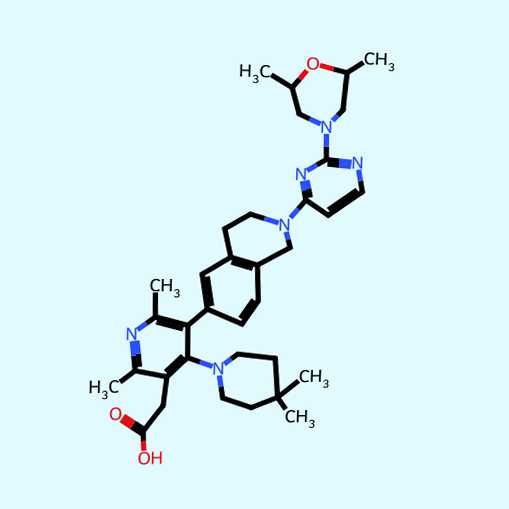 Cc1nc(C)c(-c2ccc3c(c2)CCN(c2ccnc(N4CC(C)OC(C)C4)n2)C3)c(N2CCC(C)(C)CC2)c1CC(=O)O